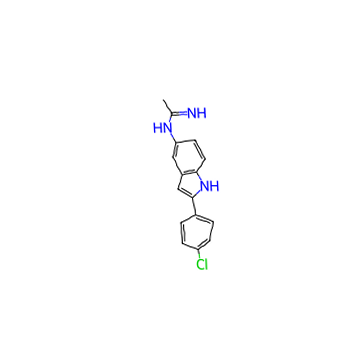 CC(=N)Nc1ccc2[nH]c(-c3ccc(Cl)cc3)cc2c1